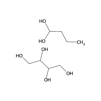 CCCC(O)O.OCC(O)C(O)CO